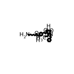 CCCn1c(Cc2ccccc2)nc2c(=O)[nH]c(=O)n(CCc3ccc(NC(=O)CCCCCN)cc3)c21